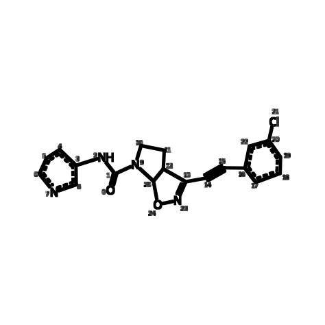 O=C(Nc1cccnc1)N1CCC2C(C#Cc3cccc(Cl)c3)=NOC21